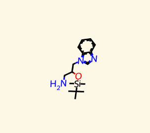 CC(C)(C)[Si](C)(C)OC(CN)Cn1cnc2ccccc21